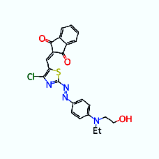 CCN(CCO)c1ccc(N=Nc2nc(Cl)c(C=C3C(=O)c4ccccc4C3=O)s2)cc1